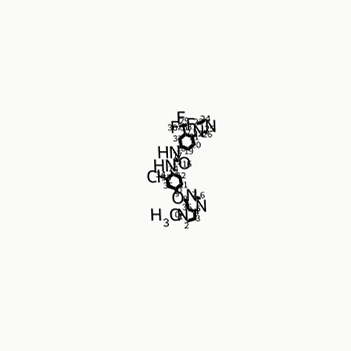 Cn1ccc2ncnc(Oc3ccc(NC(=O)Nc4ccc(-n5ccnc5)c(C(F)(F)F)c4)c(Cl)c3)c21